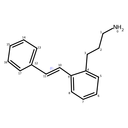 NCCCc1ccccc1/C=C/c1ccccc1